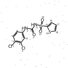 O=C(Nc1ccc(Cl)c(Cl)c1)NS(=O)(=O)c1cccs1